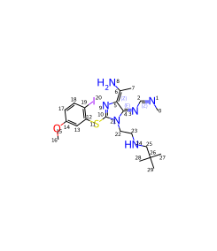 C\N=C/N=C1\C(=C(/C)N)N=C(Sc2cc(OC)ccc2I)N1CCNCC(C)(C)C